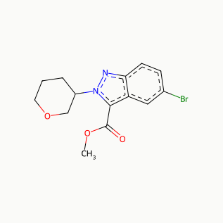 COC(=O)c1c2cc(Br)ccc2nn1C1CCCOC1